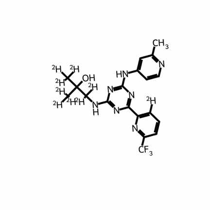 [2H]c1ccc(C(F)(F)F)nc1-c1nc(Nc2ccnc(C)c2)nc(NC([2H])([2H])C(O)(C([2H])([2H])[2H])C([2H])([2H])[2H])n1